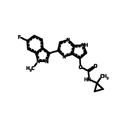 Cn1nc(-c2cnc3[nH]cc(OC(=O)NC4(C)CC4)c3n2)c2ccc(F)cc21